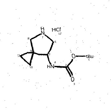 CC(C)(C)OC(=O)NC1CNCC12CC2.Cl